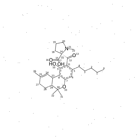 CCCCCc1cc2c(c(O)c1C(=O)[C@]1(C(=O)O)CCCN1C)C1C=C(C)CCC1C(C)(C)O2